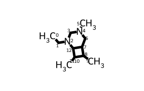 CCN1CN(C)CC2C(C)C(C)C21